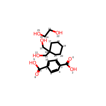 O=C(O)c1ccc(C(=O)O)cc1.OCC1(CO)CCCCC1.OCCO